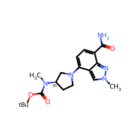 CN(C(=O)OC(C)(C)C)[C@@H]1CCN(c2ccc(C(N)=O)c3nn(C)cc23)C1